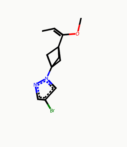 C/C=C(/OC)C12CC(n3cc(Br)cn3)(C1)C2